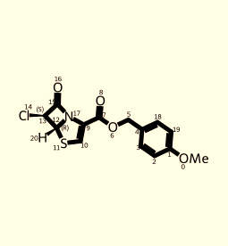 COc1ccc(COC(=O)C2=CS[C@@H]3[C@@H](Cl)C(=O)N23)cc1